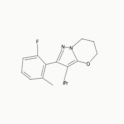 Cc1cccc(F)c1-c1nn2c(c1C(C)C)OCCC2